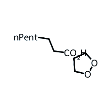 C1COOC1.CCCCCCCC(=O)O